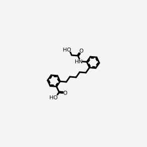 O=C(CO)Nc1ccccc1CCCCCc1ccccc1C(=O)O